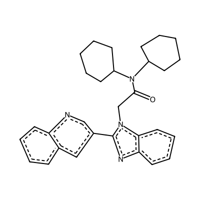 O=C(Cn1c(-c2cnc3ccccc3c2)nc2ccccc21)N(C1CCCCC1)C1CCCCC1